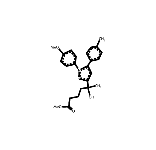 COC(=O)CCCC(C)(O)c1cc(-c2ccc(C)cc2)n(-c2ccc(OC)cc2)n1